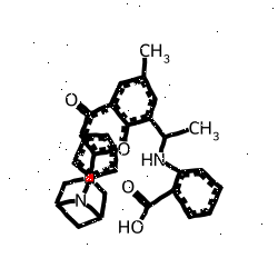 Cc1cc(C(C)Nc2ccccc2C(=O)O)c2oc(N3CC4CC(C3)N4c3ccccc3)cc(=O)c2c1